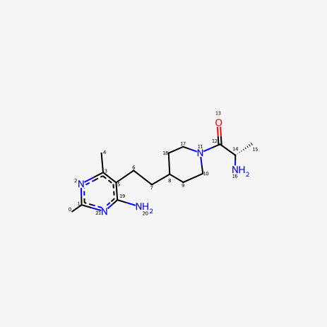 Cc1nc(C)c(CCC2CCN(C(=O)[C@H](C)N)CC2)c(N)n1